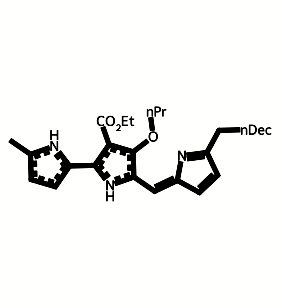 CCCCCCCCCCCC1=NC(=Cc2[nH]c(-c3ccc(C)[nH]3)c(C(=O)OCC)c2OCCC)C=C1